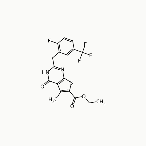 CCOC(=O)c1sc2nc(Cc3cc(C(F)(F)F)ccc3F)[nH]c(=O)c2c1C